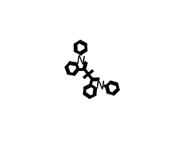 CC(C)(c1cn(-c2ccccc2)c2ccccc12)c1cn(-c2ccccc2)c2ccccc12